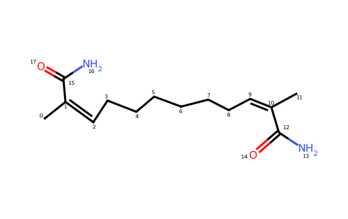 CC(=CCCCCCCC=C(C)C(N)=O)C(N)=O